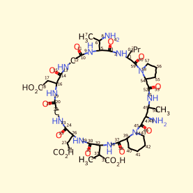 CC(C)C1NC(=O)C(C(C)N)NC(=O)CNC(=O)C(CC(=O)O)NC(=O)CNC(=O)C(CC(=O)O)NC(=O)C(C(C)C(=O)O)NC(=O)C2CCCCN2C(=O)C(N)C(C)NC(=O)C2CCCN2C1=O